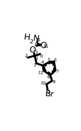 CC(C)(Cc1cccc(CCBr)c1)OC(N)=O